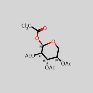 CC(=O)O[C@@H]1[C@@H](OC(C)=O)[C@@H](OC(=O)C(Cl)(Cl)Cl)OC[C@H]1OC(C)=O